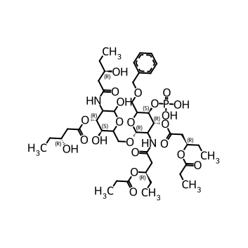 CCC(=O)O[C@H](CC)CC(=O)NC1[C@H](OCC2OC(O)C(NC(=O)C[C@H](O)CC)[C@@H](OC(=O)C[C@H](O)CC)[C@@H]2O)OC(COCc2ccccc2)[C@@H](OP(=O)(O)O)[C@@H]1OC(=O)C[C@@H](CC)OC(=O)CC